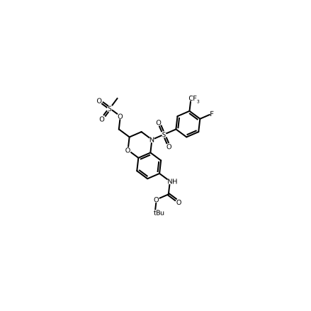 CC(C)(C)OC(=O)Nc1ccc2c(c1)N(S(=O)(=O)c1ccc(F)c(C(F)(F)F)c1)CC(COS(C)(=O)=O)O2